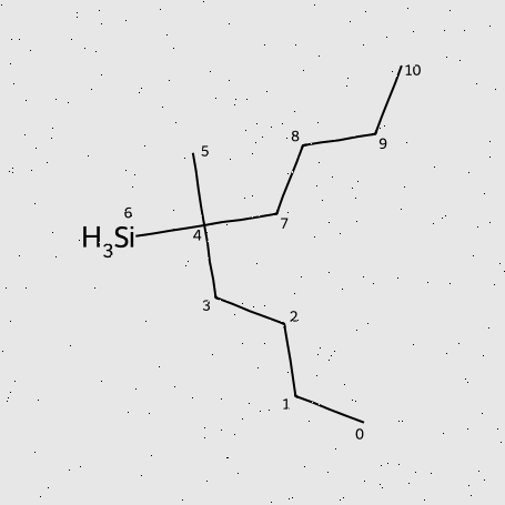 CCCCC(C)([SiH3])CCCC